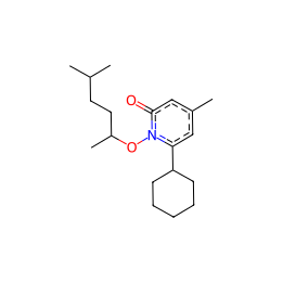 Cc1cc(C2CCCCC2)n(OC(C)CCC(C)C)c(=O)c1